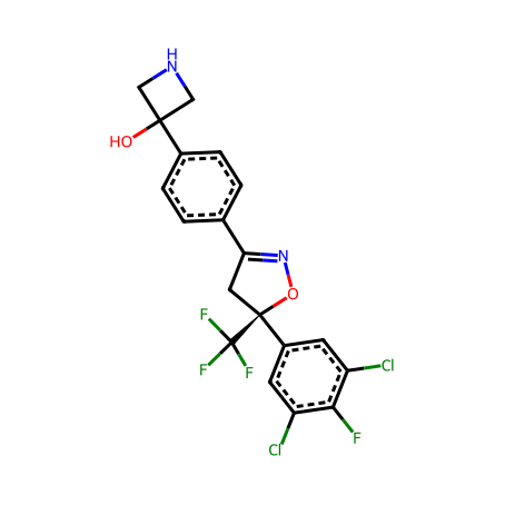 OC1(c2ccc(C3=NO[C@@](c4cc(Cl)c(F)c(Cl)c4)(C(F)(F)F)C3)cc2)CNC1